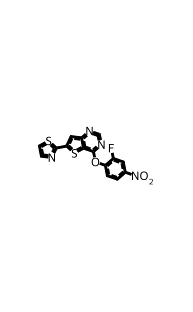 O=[N+]([O-])c1ccc(Oc2ncnc3cc(-c4nccs4)sc23)c(F)c1